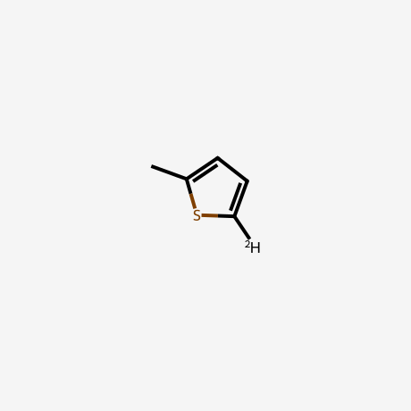 [2H]c1ccc(C)s1